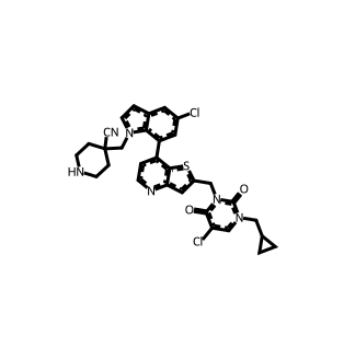 N#CC1(Cn2ccc3cc(Cl)cc(-c4ccnc5cc(Cn6c(=O)c(Cl)cn(CC7CC7)c6=O)sc45)c32)CCNCC1